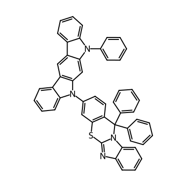 c1ccc(-n2c3ccccc3c3cc4c5ccccc5n(-c5ccc6c(c5)Sc5nc7ccccc7n5C6(c5ccccc5)c5ccccc5)c4cc32)cc1